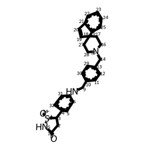 O=C1CC(c2ccc(NCc3ccc(CN4CCC5(C=Cc6ccccc65)CC4)cc3)cc2)[S+]([O-])N1